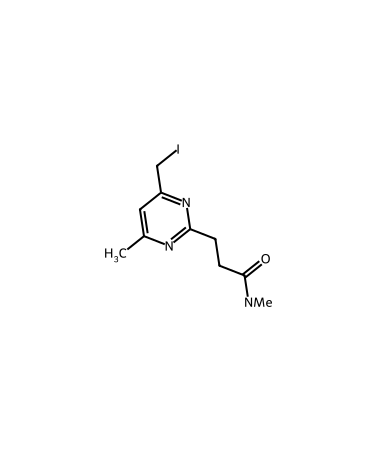 CNC(=O)CCc1nc(C)cc(CI)n1